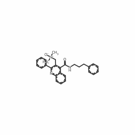 C[N+](C)([O-])Cc1c(-c2ccccc2)nc2ccccc2c1C(=O)NCCCc1ccccc1